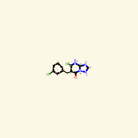 O=c1c(Cc2cccc(Cl)c2)c(Cl)[nH]c2ncnn12